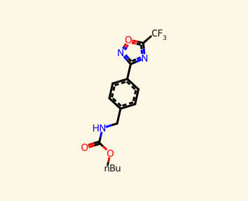 CCCCOC(=O)NCc1ccc(-c2noc(C(F)(F)F)n2)cc1